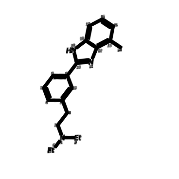 CCN(CC)CCc1cccc(-c2nc3c(C)cccc3[nH]2)c1